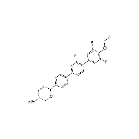 CCCC1CCC(c2ccc(-c3ccc(-c4cc(F)c(OCF)c(F)c4)c(F)c3)cc2)OC1